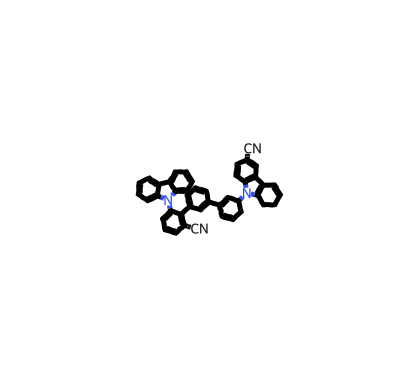 N#Cc1ccc2c(c1)c1c(n2C2C=C(c3cccc(-c4c(C#N)cccc4-n4c5ccccc5c5ccccc54)c3)C=CC2)CCC=C1